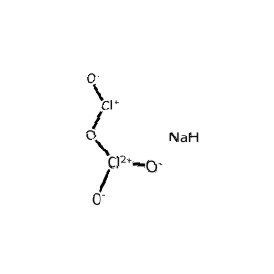 [NaH].[O-][Cl+]O[Cl+2]([O-])[O-]